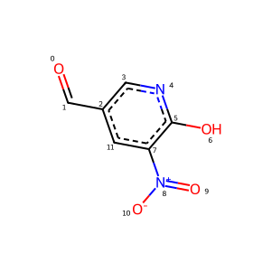 O=Cc1cnc(O)c([N+](=O)[O-])c1